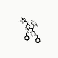 CC(C)[C@@H](C(=O)Nc1n[nH]c(=S)s1)N(C(=O)OCc1ccccc1)C(=O)[C@@H](N)CSCc1ccccc1